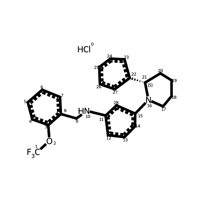 Cl.FC(F)(F)Oc1ccccc1CNc1cccc(N2CCCC[C@H]2c2ccccc2)c1